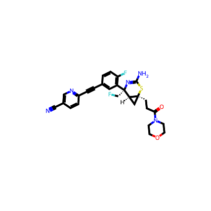 N#Cc1ccc(C#Cc2ccc(F)c([C@@]3(CF)N=C(N)S[C@@]4(CCC(=O)N5CCOCC5)C[C@H]43)c2)nc1